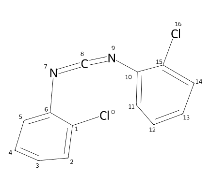 Clc1ccccc1N=C=Nc1ccccc1Cl